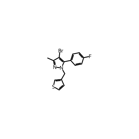 Cc1nn(Cc2ccsc2)c(-c2ccc(F)cc2)c1Br